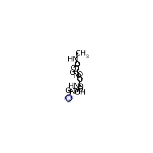 CCCNc1ccc2cc(-c3nc4cc(C(=O)NC(CNC(=O)C5=C/C=C\C=C/C=C\5)C(=O)O)ccc4o3)c(=O)oc2c1